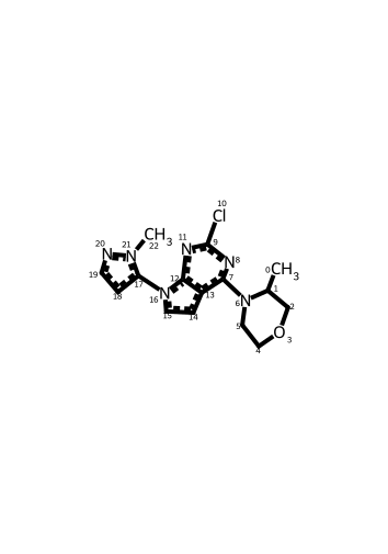 CC1COCCN1c1nc(Cl)nc2c1ccn2-c1ccnn1C